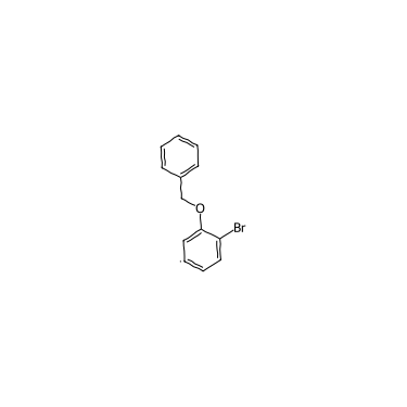 Brc1cc[c]cc1OCc1ccccc1